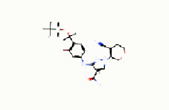 CC(C)(O[Si](C)(C)C(C)(C)C)c1ccc(Nc2nn(C3COCCC3C#N)cc2C(N)=O)cc1Br